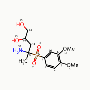 COc1ccc(S(=O)(=O)C(C)(N)CC(O)CO)cc1OC